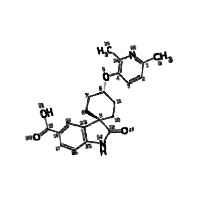 Cc1ccc(O[C@H]2CC[C@@]3(CC2)C(=O)Nc2ccc(C(=O)O)cc23)c(C)n1